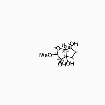 COC1O[C@@H]2[C@H](O)CCC2(O)[C@H]1O